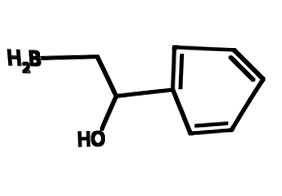 BCC(O)c1ccccc1